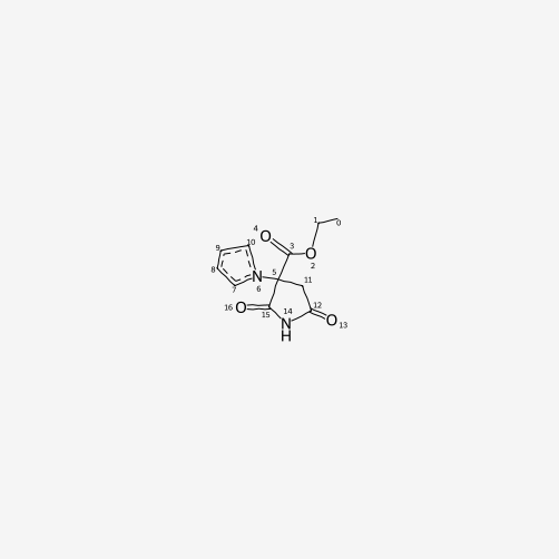 CCOC(=O)C1(n2cccc2)CC(=O)NC1=O